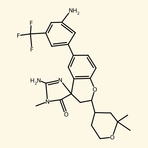 CN1C(=O)C2(CC(C3CCOC(C)(C)C3)Oc3ccc(-c4cc(N)cc(C(F)(F)F)c4)cc32)N=C1N